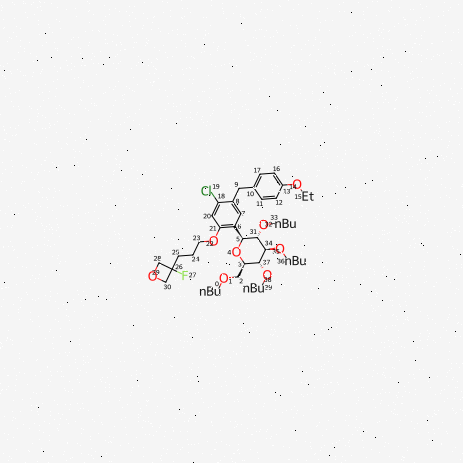 CCCCOC[C@H]1O[C@@H](c2cc(Cc3ccc(OCC)cc3)c(Cl)cc2OCCCC2(F)COC2)[C@H](OCCCC)[C@@H](OCCCC)[C@@H]1OCCCC